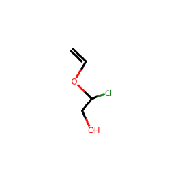 C=COC(Cl)CO